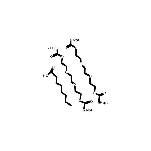 CCCCCCCC(=O)O.CCCCCCCC(=O)OCCOCCOCCOC(=O)CCCCCCC.CCCCCCCC(=O)OCCOCCOCCOC(=O)CCCCCCC